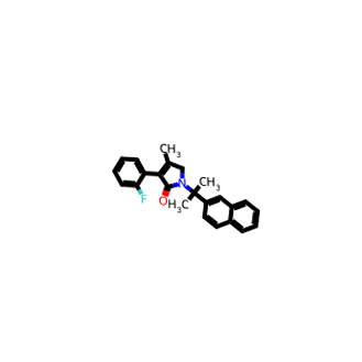 CC1=C(c2ccccc2F)C(=O)N(C(C)(C)c2ccc3ccccc3c2)C1